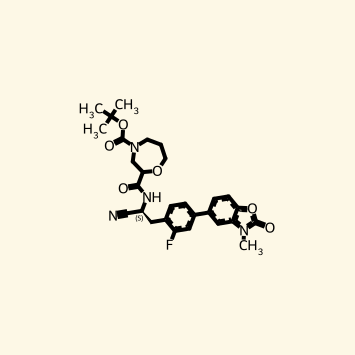 Cn1c(=O)oc2ccc(-c3ccc(C[C@@H](C#N)NC(=O)C4CN(C(=O)OC(C)(C)C)CCCO4)c(F)c3)cc21